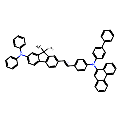 CC1(C)c2cc(/C=C/c3ccc(N(c4ccc(-c5ccccc5)cc4)c4cc5ccccc5c5ccccc45)cc3)ccc2-c2ccc(N(c3ccccc3)c3ccccc3)cc21